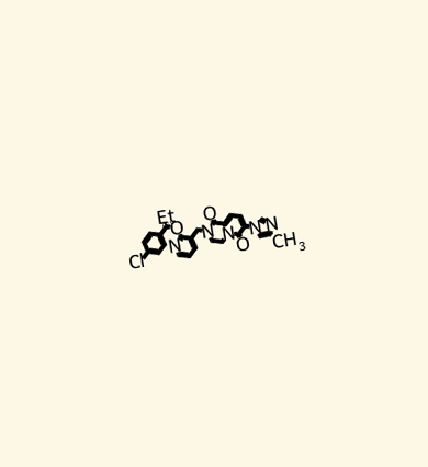 CC[C@H](Oc1ncccc1CN1CCn2c(ccc(-n3cnc(C)c3)c2=O)C1=O)c1ccc(Cl)cc1